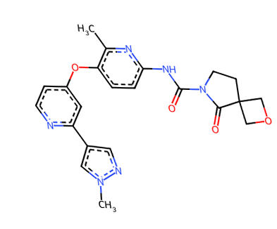 Cc1nc(NC(=O)N2CCC3(COC3)C2=O)ccc1Oc1ccnc(-c2cnn(C)c2)c1